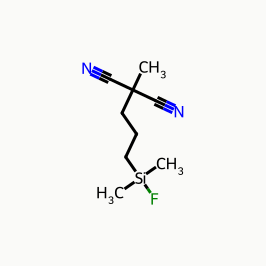 CC(C#N)(C#N)CCC[Si](C)(C)F